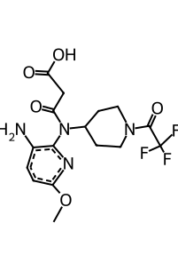 COc1ccc(N)c(N(C(=O)CC(=O)O)C2CCN(C(=O)C(F)(F)F)CC2)n1